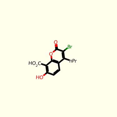 CCCc1c(Br)c(=O)oc2c(C(=O)O)c(O)ccc12